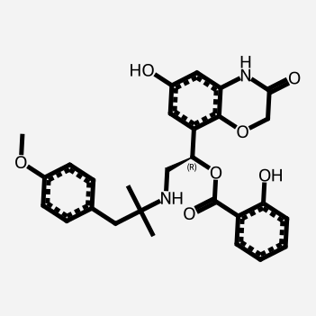 COc1ccc(CC(C)(C)NC[C@H](OC(=O)c2ccccc2O)c2cc(O)cc3c2OCC(=O)N3)cc1